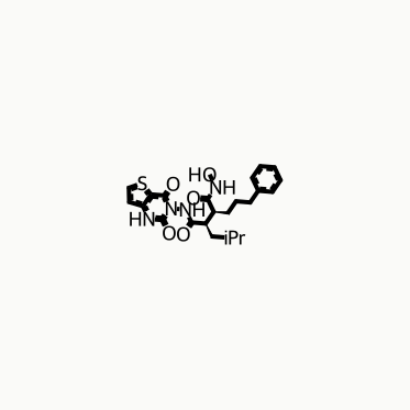 CC(C)C[C@@H](C(=O)Nn1c(=O)[nH]c2ccsc2c1=O)[C@H](CCCc1ccccc1)C(=O)NO